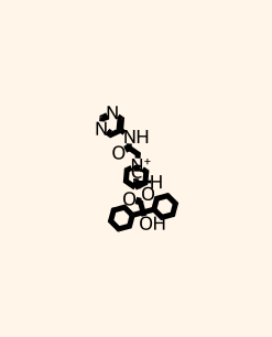 O=C(C[N+]12CCC(CC1)[C@@H](OC(=O)C(O)(C1CCCCC1)C1CCCCC1)C2)Nc1cncnc1